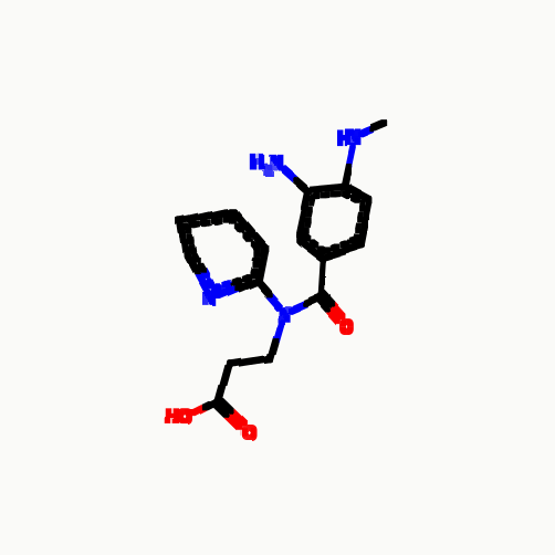 CNc1ccc(C(=O)N(CCC(=O)O)c2ccccn2)cc1N